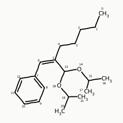 CCCCCC(=Cc1ccccc1)C(OC(C)C)OC(C)C